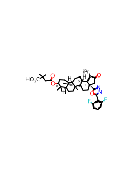 CC(C)C1=C2[C@H]3CC[C@@H]4[C@@]5(C)CC[C@H](OC(=O)CC(C)(C)C(=O)O)C(C)(C)[C@@H]5CC[C@@]4(C)[C@]3(C)CC[C@@]2(c2nnc(-c3c(F)cccc3F)o2)CC1=O